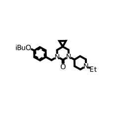 CCN1CCC(N2CC3(CC3)CN(Cc3ccc(OCC(C)C)cc3)C2=O)CC1